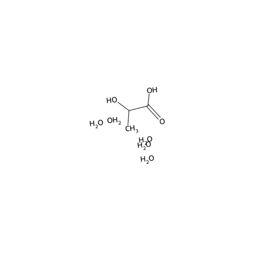 CC(O)C(=O)O.O.O.O.O.O